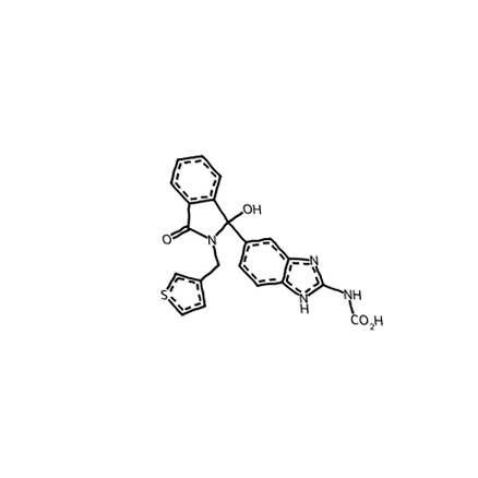 O=C(O)Nc1nc2cc(C3(O)c4ccccc4C(=O)N3Cc3ccsc3)ccc2[nH]1